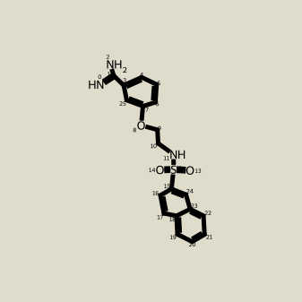 N=C(N)c1cccc(OCCNS(=O)(=O)c2ccc3ccccc3c2)c1